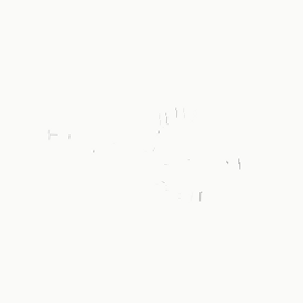 CCC(C)C(CC)(CC)C(=O)OCCOC